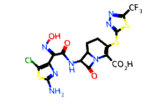 Nc1nc(/C(=N/O)C(=O)NC2C(=O)N3C(C(=O)O)=C(Sc4nnc(C(F)(F)F)s4)CCC23)c(Cl)s1